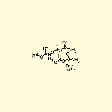 NB([O-])OB[O-].NB([O-])OB[O-].NB([O-])OB[O-].[Er+3].[Er+3]